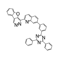 c1ccc(-c2nc(-c3ccccc3)nc(-c3cccc(-c4ccc5ccc(-c6nncc7c6oc6ccccc67)nc5c4)c3)n2)cc1